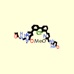 COc1nc(-c2cccc(-c3cccc(-c4cc5c(=O)n(C)c(CNC[C@H]6CCO6)nn5c4)c3Cl)c2Cl)ccc1CNC[C@H]1CCC(=O)N1